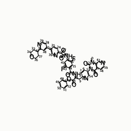 Cn1c(=O)n(-c2ccc(C[C@H](NC(=O)c3cc(F)c(NS(=O)(=O)c4ccc(-c5ccnc(C6CCOCC6)c5)cn4)cc3F)C(=O)Oc3ccccc3)nc2)c(=O)c2ccncc21